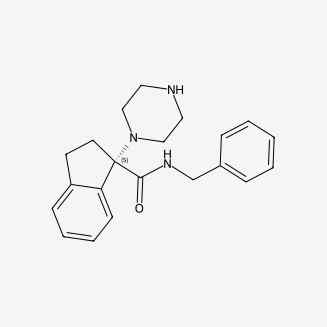 O=C(NCc1ccccc1)[C@]1(N2CCNCC2)CCc2ccccc21